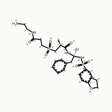 CC[C@](Cc1ccccc1)(NC(=O)[C@H](C)CS(=O)(=O)CCC(=O)NCCN)NS(=O)(=O)c1ccc2c(c1)CCO2